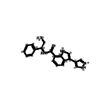 NC[C@@H](NC(=O)c1cccc2c(-c3cn[nH]c3)c[nH]c12)c1ccccc1